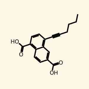 CCCCC#Cc1ccc(C(=O)O)c2ccc(C(=O)O)cc12